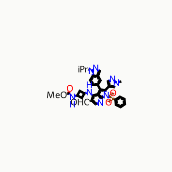 COC(=O)NC1CC(Nc2c(C=O)cnc3c2c(-c2ccc4c(cnn4C(C)C)c2)c(-c2cnn(C)c2)n3S(=O)(=O)c2ccccc2)C1